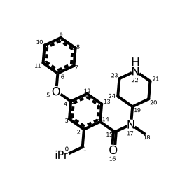 CC(C)Cc1cc(Oc2ccccc2)ccc1C(=O)N(C)C1CCNCC1